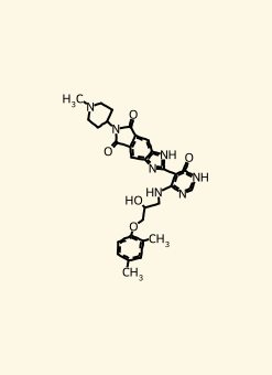 Cc1ccc(OCC(O)CNc2nc[nH]c(=O)c2-c2nc3cc4c(cc3[nH]2)C(=O)N(C2CCN(C)CC2)C4=O)c(C)c1